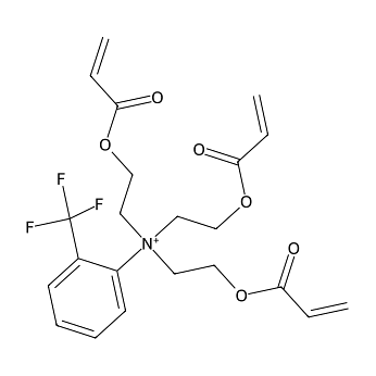 C=CC(=O)OCC[N+](CCOC(=O)C=C)(CCOC(=O)C=C)c1ccccc1C(F)(F)F